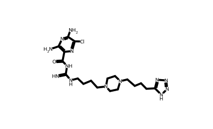 N=C(NCCCCN1CCN(CCCCc2nnn[nH]2)CC1)NC(=O)c1nc(Cl)c(N)nc1N